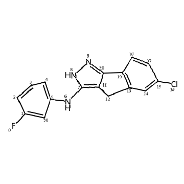 Fc1cccc(Nc2[nH]nc3c2Cc2cc(Cl)ccc2-3)c1